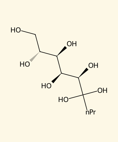 CCCC(O)(O)[C@H](O)[C@@H](O)[C@H](O)[C@H](O)CO